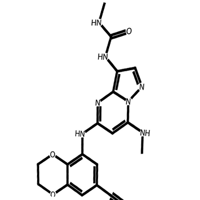 CNC(=O)Nc1cnn2c(NC)cc(Nc3cc(C#N)cc4c3OCCO4)nc12